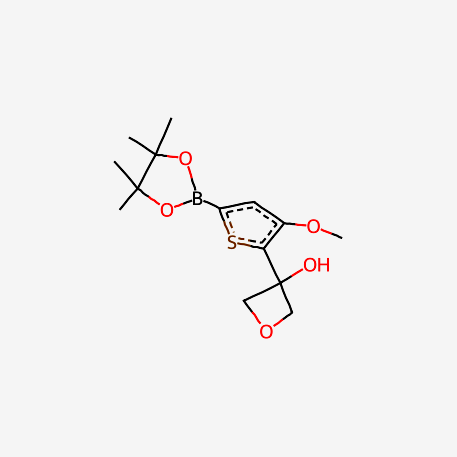 COc1cc(B2OC(C)(C)C(C)(C)O2)sc1C1(O)COC1